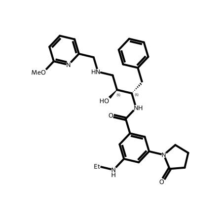 CCNc1cc(C(=O)N[C@@H](Cc2ccccc2)[C@@H](O)CNCc2cccc(OC)n2)cc(N2CCCC2=O)c1